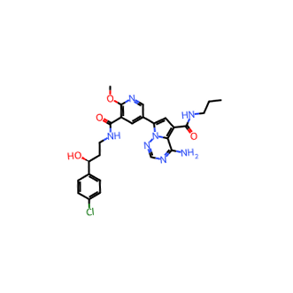 CCCNC(=O)c1cc(-c2cnc(OC)c(C(=O)NCC[C@H](O)c3ccc(Cl)cc3)c2)n2ncnc(N)c12